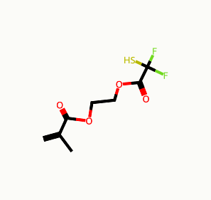 C=C(C)C(=O)OCCOC(=O)C(F)(F)S